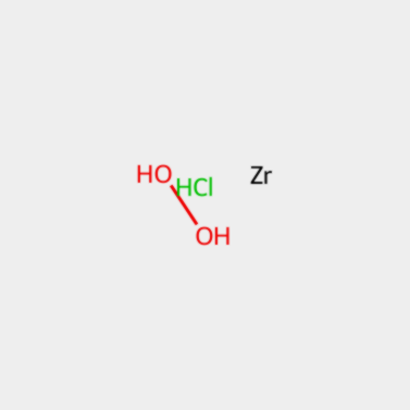 Cl.OO.[Zr]